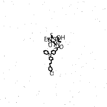 C=C(OO)n1c(=O)/c(=C/c2ccc(N(c3ccccc3)c3ccc(C=Cc4ccc(Cl)cc4)cc3)cc2)s/c1=C1/SC(=S)N(CC)C1=O